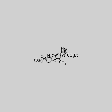 CCOC(=O)CS(=O)(=O)Nc1cc(C)c(OC2CCN(C(=O)OC(C)(C)C)CC2)c(C)c1